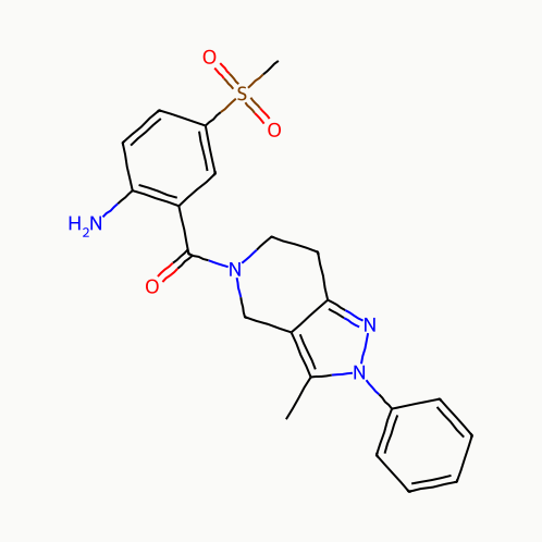 Cc1c2c(nn1-c1ccccc1)CCN(C(=O)c1cc(S(C)(=O)=O)ccc1N)C2